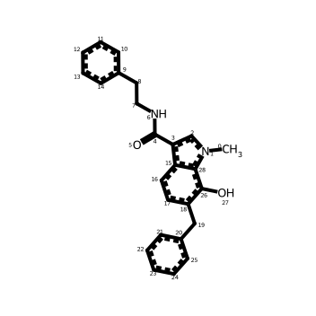 Cn1cc(C(=O)NCCc2ccccc2)c2ccc(Cc3ccccc3)c(O)c21